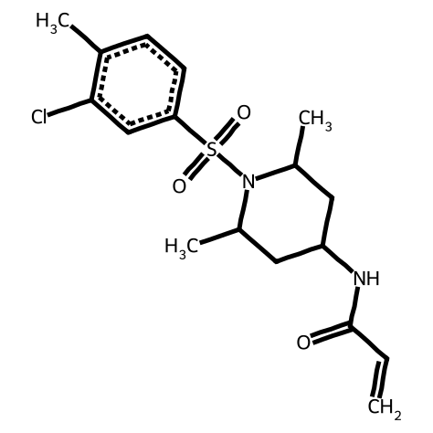 C=CC(=O)NC1CC(C)N(S(=O)(=O)c2ccc(C)c(Cl)c2)C(C)C1